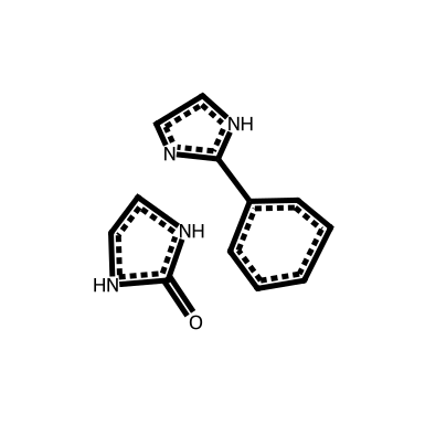 O=c1[nH]cc[nH]1.c1ccc(-c2ncc[nH]2)cc1